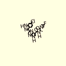 C/N=C(/c1cnc2[nH]cc(C(=O)N[C@H](C)C(=O)N3CC(F)C3)c2n1)c1ccc(Cl)cc1NC